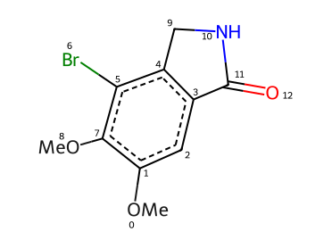 COc1cc2c(c(Br)c1OC)CNC2=O